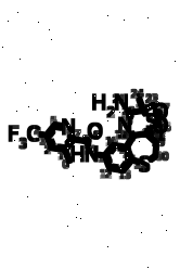 Cc1cc(C(F)(F)F)cnc1C(=O)Nc1ccc2c(c1)[C@@]1(C)N=C(N)C(C)(C)S(=O)(=O)[C@@H]1CCS2